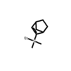 CC[Si](C)(C)C1=CC2CCC1C2